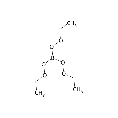 CCOOB(OOCC)OOCC